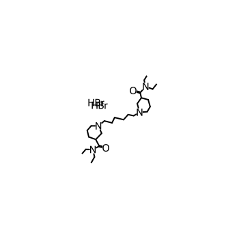 Br.Br.CCN(CC)C(=O)C1CCCN(CCCCCCN2CCCC(C(=O)N(CC)CC)C2)C1